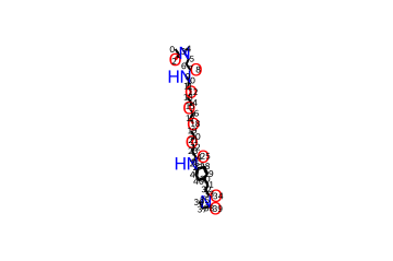 CC(=O)N(C)CCC(=O)NCCOCCOCCOCCOCCC(=O)Nc1ccc(CCC(=O)N2CCC2=O)cc1